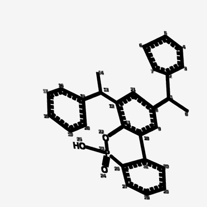 CC(c1ccccc1)c1cc2c(c(C(C)c3ccccc3)c1)OP(=O)(O)c1ccccc1-2